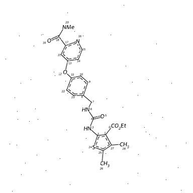 CCOC(=O)c1c(NC(=O)NCc2ccc(Oc3ccnc(C(=O)NC)c3)cc2)sc(C)c1C